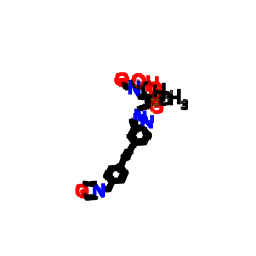 C[C@@](CCn1cc2cc(C#Cc3ccc(CN4CCOCC4)cc3)ccc2n1)(CN(O)C=O)S(C)(=O)=O